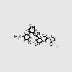 CC1CCCN1c1cnc2c(C(=O)Nc3cnccc3[C@@H]3C[C@H](C)C[C@H](N)C3)cccc2c1